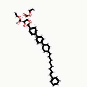 CCOC(=O)[C@@H]1OC(c2ccc(-c3ccc(C4CCC(CCCCCCC=Cc5ccccc5)CC4)cc3)cc2)O[C@H]1C(=O)OCC